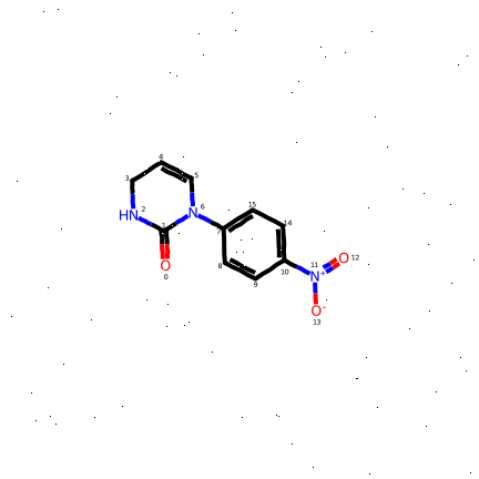 O=C1NCC=CN1c1ccc([N+](=O)[O-])cc1